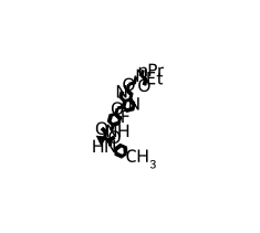 CCCN(CCOc1cc2nccc(Oc3ccc(NC(=O)C4(C(=O)Nc5ccc(C)cc5)CC4)cc3F)c2cn1)C(=O)CC